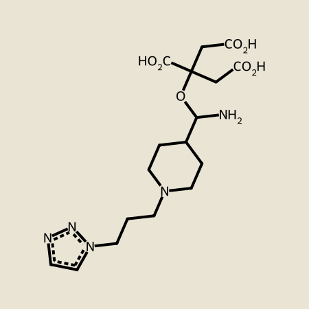 NC(OC(CC(=O)O)(CC(=O)O)C(=O)O)C1CCN(CCCn2ccnn2)CC1